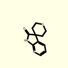 O=C1Nc2ncccc2C12CCOCC2